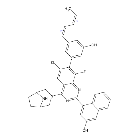 C/C=C\C=C/c1cc(O)cc(-c2c(Cl)cc3c(N4CC5CCC(C4)N5)nc(-c4cc(O)cc5ccccc45)nc3c2F)c1